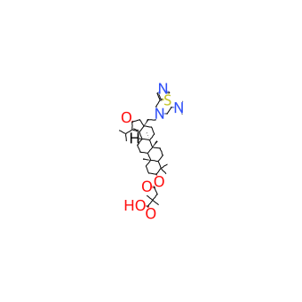 CC(C)C1=C2[C@H]3CCC4[C@@]5(C)CC[C@H](OC(=O)CC(C)(C)C(=O)O)C(C)(C)C5CC[C@@]4(C)[C@]3(C)CC[C@@]2(CCN(CCN(C)C)Cc2cncs2)CC1=O